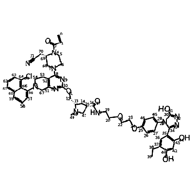 C=CC(=O)N1CCN(c2nc(OC[C@@H]3C[C@H](C(=O)NCCOCCOc4ccc(-n5c(O)nnc5-c5cc(CC)c(O)cc5O)cc4)CN3C)nc3c2CCN(c2cccc4cccc(Cl)c24)C3)C[C@@H]1CC#N